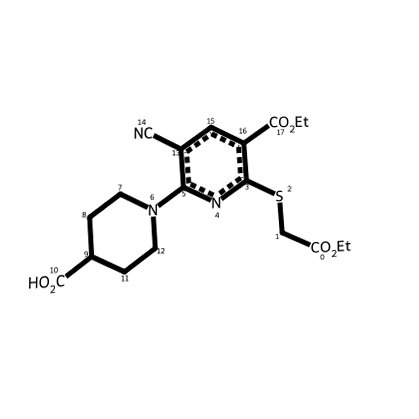 CCOC(=O)CSc1nc(N2CCC(C(=O)O)CC2)c(C#N)cc1C(=O)OCC